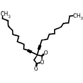 CCCCCCCCCCC#CC1(C#CCCCCCCCCCC)CC(=O)OC1=O